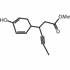 CC#CC(CC(=O)OC)C1C=CC(O)=CC1